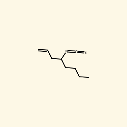 C=CCC(CCCC)N=C=S